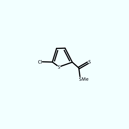 CSC(=S)c1ccc(Cl)s1